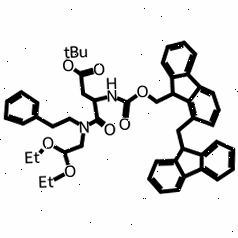 CCOC(CN(CCc1ccccc1)C(=O)C(CC(=O)OC(C)(C)C)NC(=O)OCC1c2ccccc2-c2cccc(CC3c4ccccc4-c4ccccc43)c21)OCC